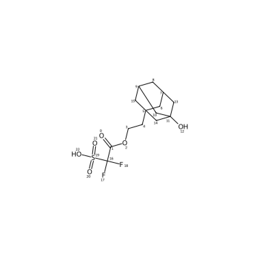 O=C(OCCC12CC3CC(CC(O)(C3)C1)C2)C(F)(F)S(=O)(=O)O